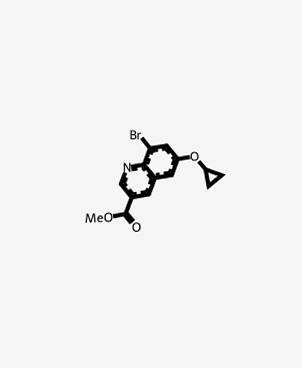 COC(=O)c1cnc2c(Br)cc(OC3CC3)cc2c1